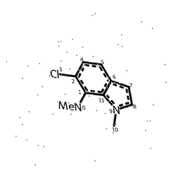 CNc1c(Cl)ccc2ccn(C)c12